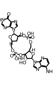 Nc1ccnc2c1ncn2[C@@H]1O[C@@H]2COP(=O)(O)O[C@@H]3C[C@@H](COP(=O)(O)O[C@H]2[C@H]1O)O[C@H]3n1cnc2c(=O)[nH]cnc21